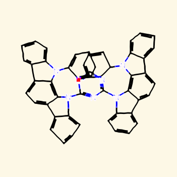 C1=CCC(n2c3ccccc3c3ccc4c5ccccc5n(-c5ncnc(-n6c7ccccc7c7ccc8c9ccccc9n(C9=CCCC=C9)c8c76)n5)c4c32)C=C1